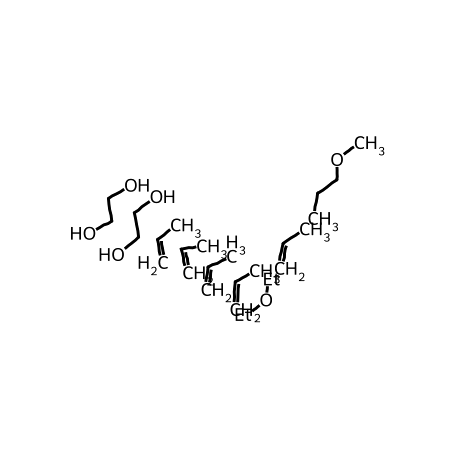 C=CC.C=CC.C=CC.C=CC.C=CC.CCCOC.CCOCC.OCCO.OCCO